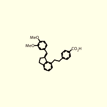 COc1ccc(/C=C2\CCc3cccc(CCc4ccc(C(=O)O)cc4)c32)cc1OC